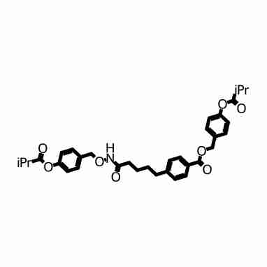 CC(C)C(=O)Oc1ccc(CONC(=O)CCCCc2ccc(C(=O)OCc3ccc(OC(=O)C(C)C)cc3)cc2)cc1